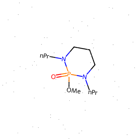 CCCN1CCCN(CCC)P1(=O)OC